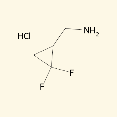 Cl.NCC1CC1(F)F